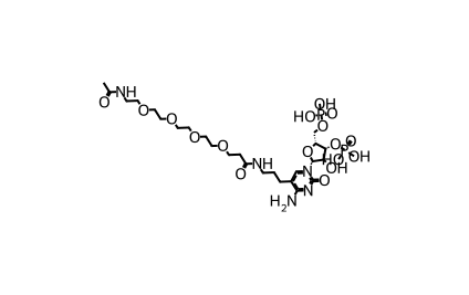 CC(=O)NCCOCCOCCOCCOCCC(=O)NCCCc1cn([C@@H]2O[C@H](COP(=O)(O)O)[C@H](OP(=O)(O)O)C2O)c(=O)nc1N